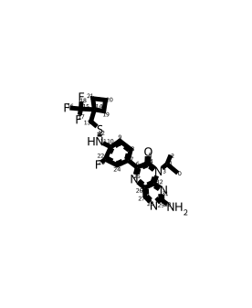 CC(C)n1c(=O)c(-c2ccc(NSCC3(C(F)(F)F)CCC3)c(F)c2)nc2cnc(N)nc21